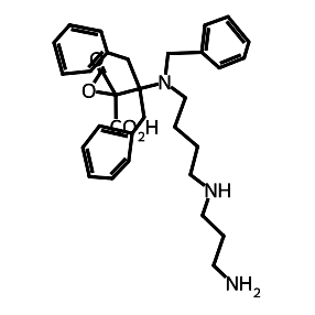 NCCCNCCCCN(Cc1ccccc1)C(Cc1ccccc1)(Cc1ccccc1)C1(C(=O)O)OC1=O